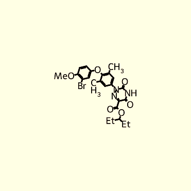 CCC(CC)OC(=O)c1nn(-c2cc(C)c(Oc3ccc(OC)c(Br)c3)c(C)c2)c(=O)[nH]c1=O